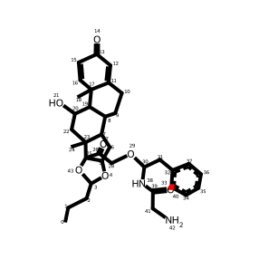 CCCC1OC2CC3C4CCC5=CC(=O)C=CC5(C)C4C(O)CC3(C)C2(C(=O)COC(Cc2ccccc2)NC(=O)CN)O1